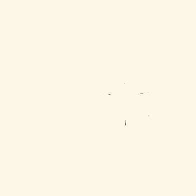 CCc1ccc(Cc2ccc(COC(C)=O)cc2O[C@@H]2S[C@H](CO)[C@@H](O)[C@H](O)[C@H]2O)cc1